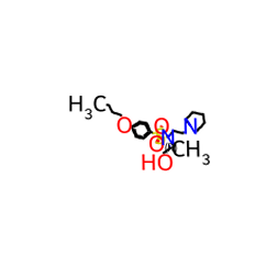 CCCCOc1ccc(S(=O)(=O)N(CCN2CCCCC2)[C@H](C)CO)cc1